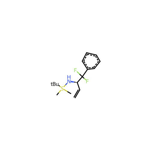 C=C[C@@H](NS(C)(C)C(C)(C)C)C(F)(F)c1ccccc1